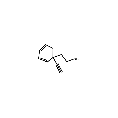 C#CC1(CCN)C=CC=CC1